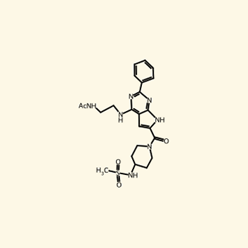 CC(=O)NCCNc1nc(-c2ccccc2)nc2[nH]c(C(=O)N3CCC(NS(C)(=O)=O)CC3)cc12